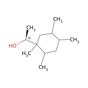 CC1CC(C)C(C)([C@H](C)O)CC1C